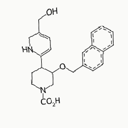 O=C(O)N1CCC(C2=CC=C(CO)CN2)C(OCc2ccc3ccccc3c2)C1